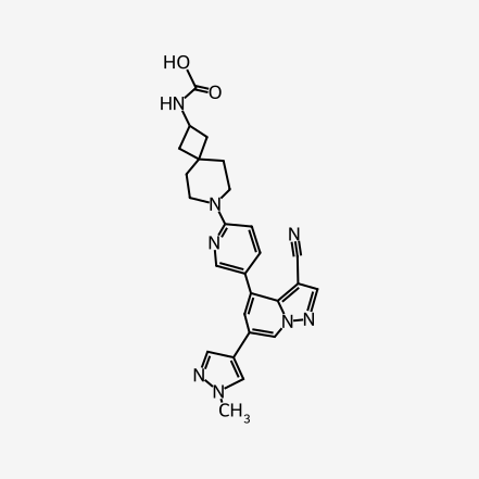 Cn1cc(-c2cc(-c3ccc(N4CCC5(CC4)CC(NC(=O)O)C5)nc3)c3c(C#N)cnn3c2)cn1